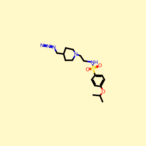 CC(C)Oc1ccc(S(=O)(=O)NCCN2CCC(CN=[N+]=[N-])CC2)cc1